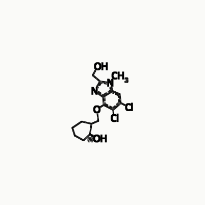 Cn1c(CO)nc2c(OCC3CCCC[C@@H]3O)c(Cl)c(Cl)cc21